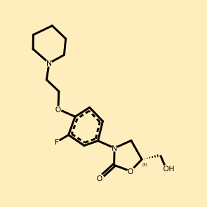 O=C1O[C@@H](CO)CN1c1ccc(OCCN2CCCCC2)c(F)c1